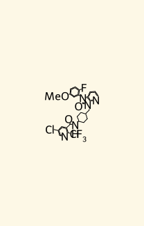 COc1ccc(F)c(-n2c(=O)n(CC3CCC(NC(=O)c4cc(Cl)cnc4C(F)(F)F)CC3)c3ncccc32)c1